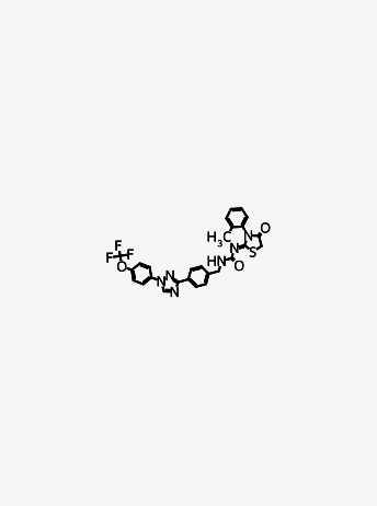 Cc1ccccc1N1C(=O)CSC1=NC(=O)NCc1ccc(-c2ncn(-c3ccc(OC(F)(F)F)cc3)n2)cc1